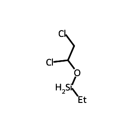 CC[SiH2]OC(Cl)CCl